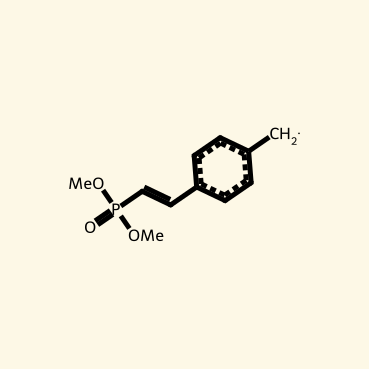 [CH2]c1ccc(C=CP(=O)(OC)OC)cc1